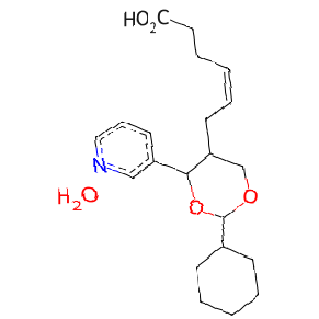 O.O=C(O)CC/C=C\CC1COC(C2CCCCC2)OC1c1cccnc1